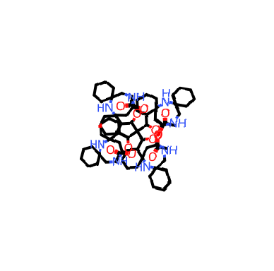 CC(=O)OC(C1CCCCC12CC(=O)NCC1(CCCCC1)N2)C(C(OC(C)=O)C1CCCCC12CC(=O)NCC1(CCCCC1)N2)(C(OC(C)=O)C1CCCCC12CC(=O)NCC1(CCCCC1)N2)C(OC(C)=O)C1CCCCC12CC(=O)NCC1(CCCCC1)N2